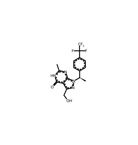 Cc1nc2c(c(CO)nn2[C@H](C)c2ccc(C(F)(F)C(F)(F)F)cc2)c(=O)[nH]1